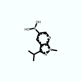 CC(C)c1nn(C)c2ncc(B(O)O)cc12